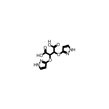 O=C(O)C(Oc1cc[nH]n1)C(Oc1cc[nH]n1)C(=O)O